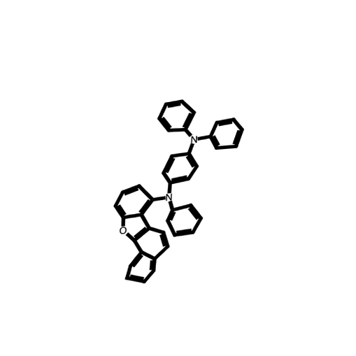 c1ccc(N(c2ccccc2)c2ccc(N(c3ccccc3)c3cccc4oc5c6ccccc6ccc5c34)cc2)cc1